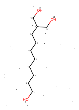 OCCCCCCCCC(CO)CO